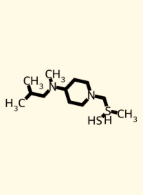 CC(C)CN(C)C1CCN(C[SH](C)S)CC1